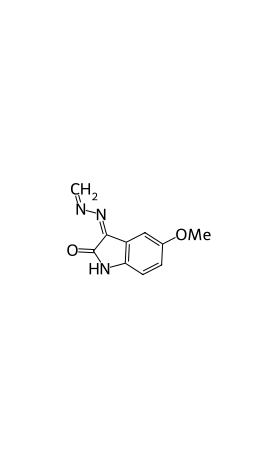 C=N/N=C1\C(=O)Nc2ccc(OC)cc21